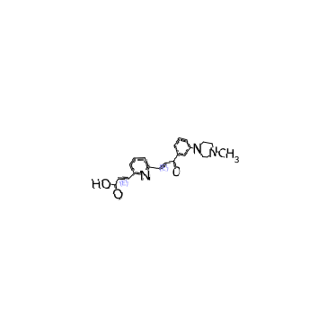 CN1CCN(c2cccc(C(=O)/C=C/c3cccc(/C=C/C(=O)O)n3)c2)CC1